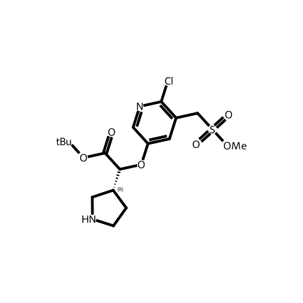 COS(=O)(=O)Cc1cc(OC(C(=O)OC(C)(C)C)[C@@H]2CCNC2)cnc1Cl